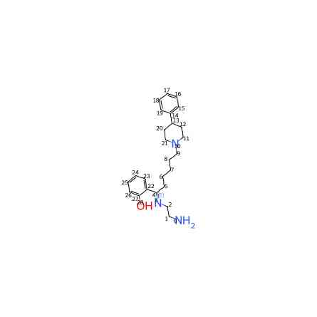 NCC/N=C(\CCCCCN1CCC(c2ccccc2)CC1)c1ccccc1O